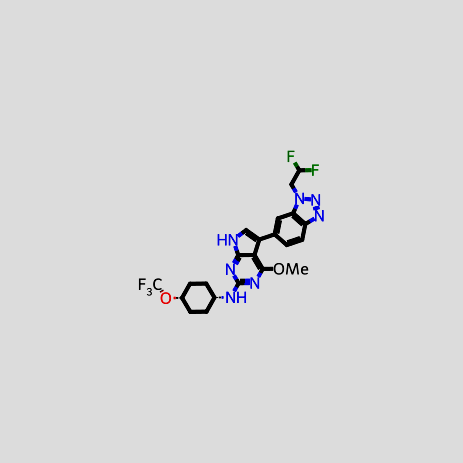 COc1nc(N[C@H]2CC[C@@H](OC(F)(F)F)CC2)nc2[nH]cc(-c3ccc4nnn(CC(F)F)c4c3)c12